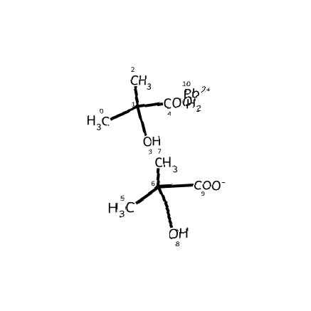 CC(C)(O)C(=O)[O-].CC(C)(O)C(=O)[O-].[PbH2+2]